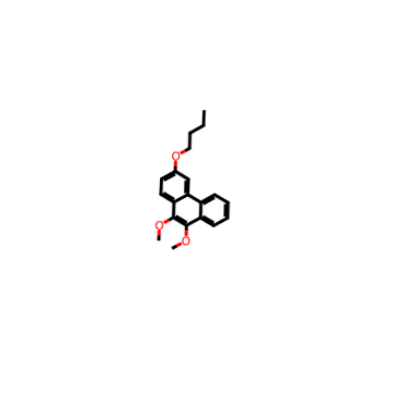 CCCCOc1ccc2c(OC)c(OC)c3ccccc3c2c1